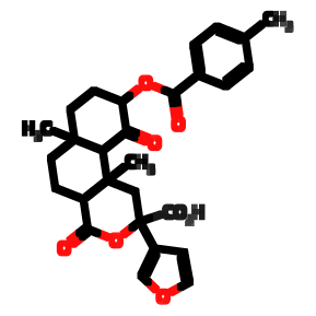 Cc1ccc(C(=O)OC2CCC3(C)CCC4C(=O)OC(C(=O)O)(c5ccoc5)CC4(C)C3C2=O)cc1